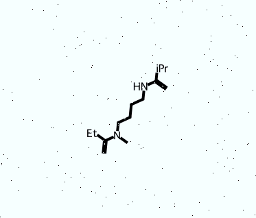 C=C(NCCCCN(C)C(=C)CC)C(C)C